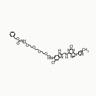 Cn1cc(-n2cnc3c(NCc4nc5cc(Cl)c(NCCOCCOCCOCCOCCNC(=O)OCc6ccccc6)cc5[nH]4)nc(Cl)nc32)cn1